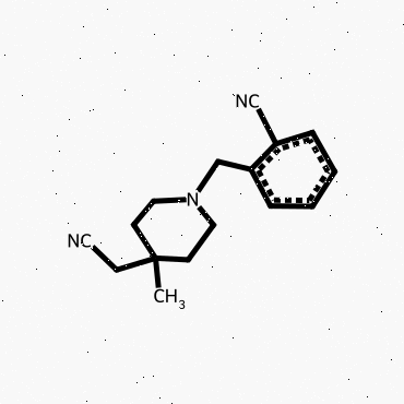 CC1(CC#N)CCN(Cc2ccccc2C#N)CC1